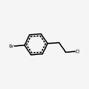 ClCCc1ccc(Br)cc1